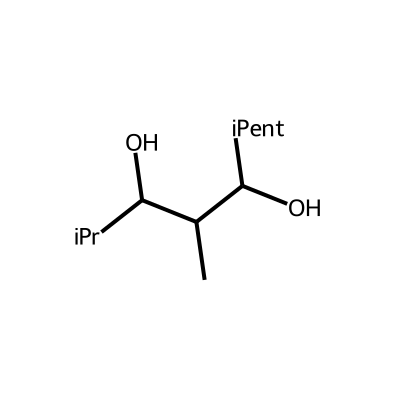 CCCC(C)C(O)C(C)C(O)C(C)C